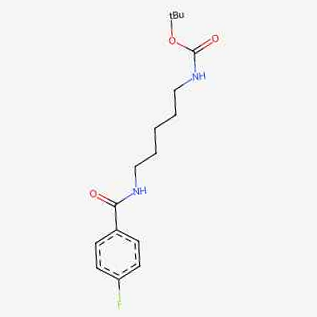 CC(C)(C)OC(=O)NCCCCCNC(=O)c1ccc(F)cc1